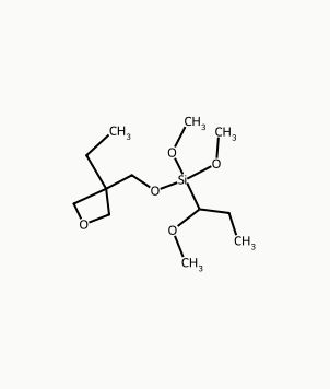 CCC(OC)[Si](OC)(OC)OCC1(CC)COC1